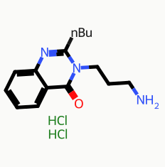 CCCCc1nc2ccccc2c(=O)n1CCCN.Cl.Cl